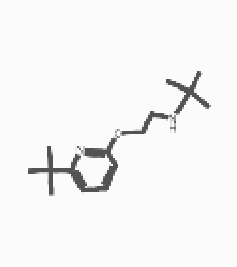 CC(C)(C)NCCOc1cccc(C(C)(C)C)n1